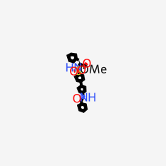 COC(=O)[C@@H](Cc1ccccc1)NS(=O)(=O)c1ccc(-c2ccc(NC(=O)c3ccccc3)cc2)cc1